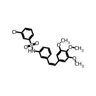 COc1cc(/C=C\c2cccc(NS(=O)(=O)c3cccc(Cl)c3)c2)cc(OC)c1OC